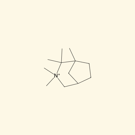 CC12CCC(C1)C[N+](C)(C)C2(C)C